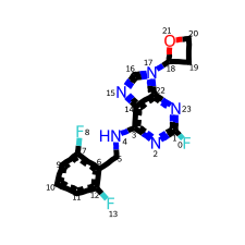 Fc1nc(NCc2c(F)cccc2F)c2ncn(C3CCO3)c2n1